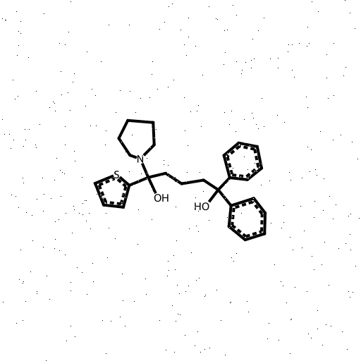 OC(CCCC(O)(c1cccs1)N1CCCCC1)(c1ccccc1)c1ccccc1